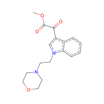 COC(=O)C(=O)c1cn(CCN2CCOCC2)c2ccccc12